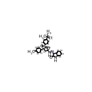 CCC(C)(C)c1ccc(S(=O)(=O)N(CC(=O)N/N=C2\C(=O)Nc3ccccc32)c2ccc(C)cc2)cc1